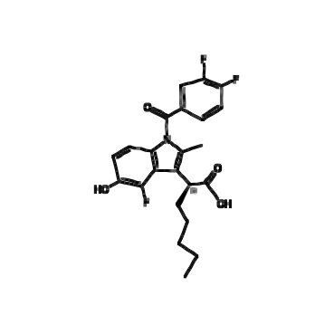 CCCCC[C@H](C(=O)O)c1c(C)n(C(=O)c2ccc(F)c(F)c2)c2ccc(O)c(F)c12